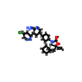 CC1(C)OC(=O)N(c2ccc(-c3cnc(N)c(-c4cc(Cl)cnn4)c3)cc2)[C@H]1c1ccccc1